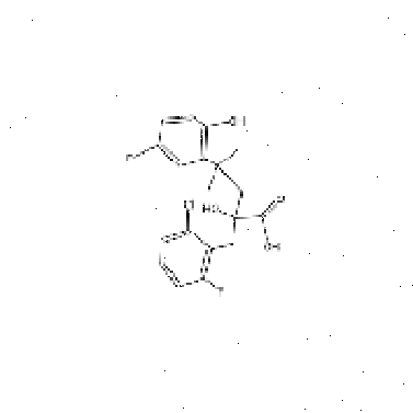 CC(C)(CC(O)(Cc1c(F)cccc1Cl)C(=O)O)c1cc(F)ccc1O